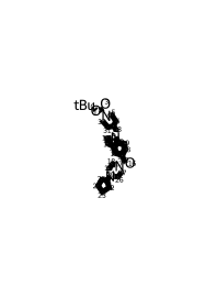 CC(C)(C)OC(=O)N1CCC(Cn2ccc3cc(C(=O)N4CCN(C5CCCC5)CC4)ccc32)CC1